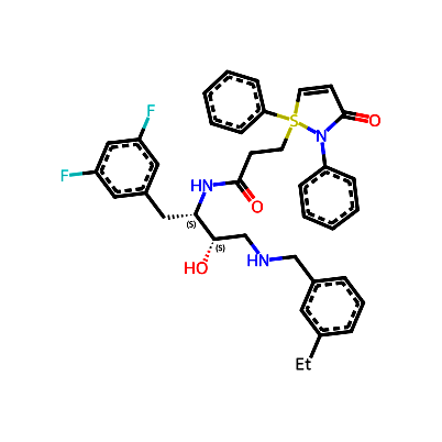 CCc1cccc(CNC[C@H](O)[C@H](Cc2cc(F)cc(F)c2)NC(=O)CCS2(c3ccccc3)C=CC(=O)N2c2ccccc2)c1